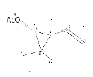 C=C[C@H]1[C@@H](OC(C)=O)C1(C)C